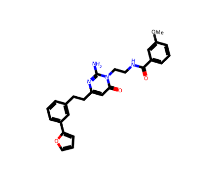 COc1cccc(C(=O)NCCn2c(N)nc(CCc3cccc(-c4ccco4)c3)cc2=O)c1